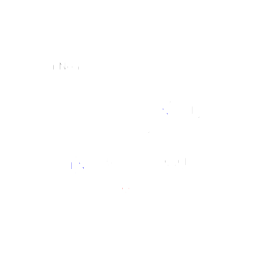 CCCCCCCCCCCCN(CC)C(CC(N)=O)C(=O)O